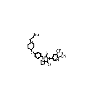 CC(C)(C)CCN1CCC(Oc2ccc(N3C(=S)N(c4cnc(C#N)c(C(F)(F)F)c4)C(=O)C34CCC4)cc2)CC1